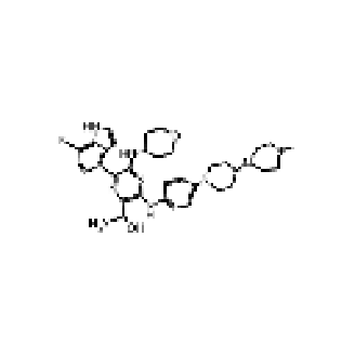 CN1CCN(C2CCN(c3ccc(Nc4nc(NC5CCOCC5)c(-c5ccc(F)c6[nH]ccc56)nc4C(N)O)cc3)CC2)CC1